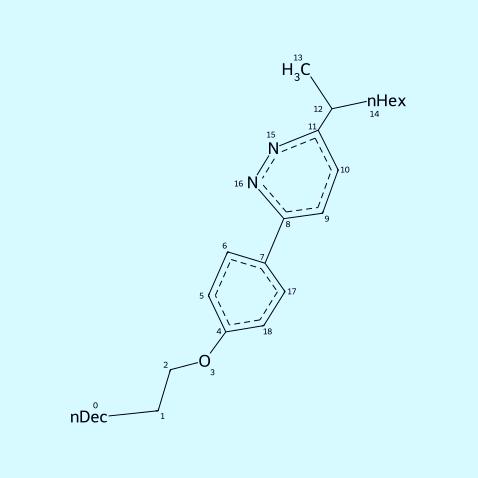 CCCCCCCCCCCCOc1ccc(-c2ccc(C(C)CCCCCC)nn2)cc1